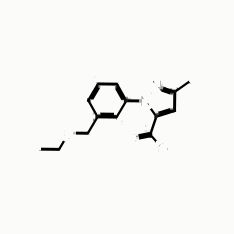 CCOCc1cccc(-n2nc(C)cc2C(=O)O)c1